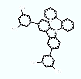 N#Cc1cc(C#N)cc(-c2ccc3c(c2)c2cc(-c4cc(C#N)cc(C#N)c4)ccc2n3-c2ccccc2-c2ccccn2)c1